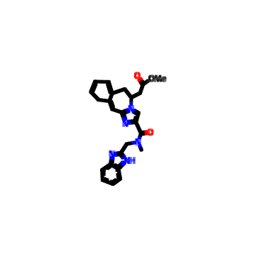 COC(=O)CC1CC2=CC=CCC2=Cc2nc(C(=O)N(C)Cc3nc4ccccc4[nH]3)cn21